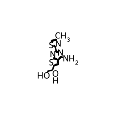 Cc1csc(-c2nc(N)c3cc(C(O)CO)sc3n2)n1